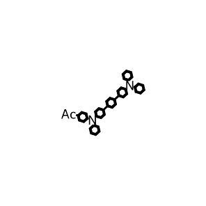 CC(=O)c1ccc(N(c2ccccc2)c2ccc(-c3ccc(-c4ccc(N(c5ccccc5)c5ccccc5)cc4)cc3)cc2)cc1